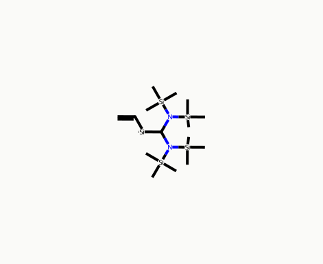 C=C[Si]C(N([Si](C)(C)C)[Si](C)(C)C)N([Si](C)(C)C)[Si](C)(C)C